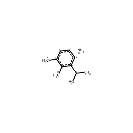 Cc1cccc(C(C)O)c1C.N